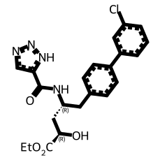 CCOC(=O)[C@H](O)C[C@@H](Cc1ccc(-c2cccc(Cl)c2)cc1)NC(=O)c1cnn[nH]1